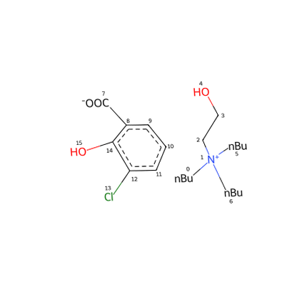 CCCC[N+](CCO)(CCCC)CCCC.O=C([O-])c1cccc(Cl)c1O